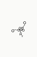 C=C(C(=O)OCCCc1ccccc1)C(=O)OCCCc1ccccc1